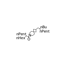 CCCCCCC(CCCCC)C(=O)N1CCC2(CC1)CC(CC(CCCC)CCCCC)C2